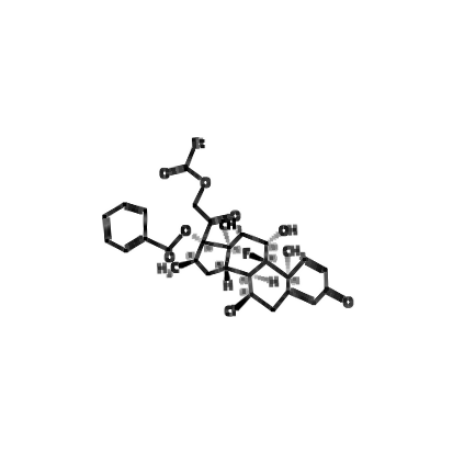 CCC(=O)OCC(=O)[C@]1(OC(=O)c2ccccc2)[C@H](C)C[C@H]2[C@@H]3[C@H](Cl)CC4=CC(=O)C=C[C@]4(C)[C@@]3(F)[C@@H](O)C[C@@]21C